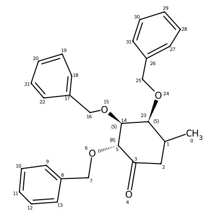 CC1CC(=O)[C@H](OCc2ccccc2)[C@@H](OCc2ccccc2)[C@H]1OCc1ccccc1